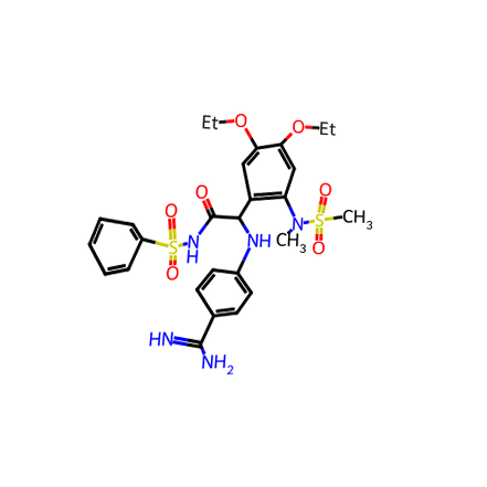 CCOc1cc(C(Nc2ccc(C(=N)N)cc2)C(=O)NS(=O)(=O)c2ccccc2)c(N(C)S(C)(=O)=O)cc1OCC